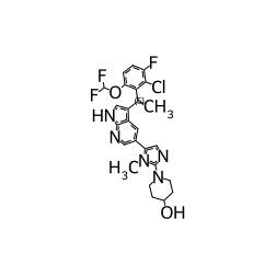 C[C@H](c1c(OC(F)F)ccc(F)c1Cl)c1c[nH]c2ncc(-c3cnc(N4CCC(O)CC4)n3C)cc12